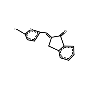 O=C1/C(=C/c2ccc(Cl)s2)Cc2ccccc21